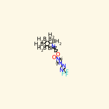 Bc1c(B)c(B)c(C(B)N2CC3(CC(OC(=O)N4C[C@H](C)N(c5cnc(C(F)(F)F)cn5)C[C@H]4C)C3)C2)c(B)c1B